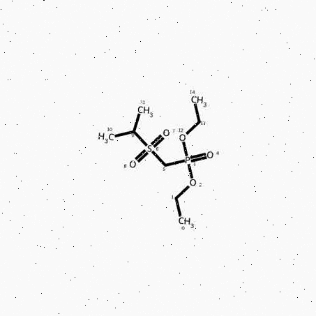 CCOP(=O)(CS(=O)(=O)C(C)C)OCC